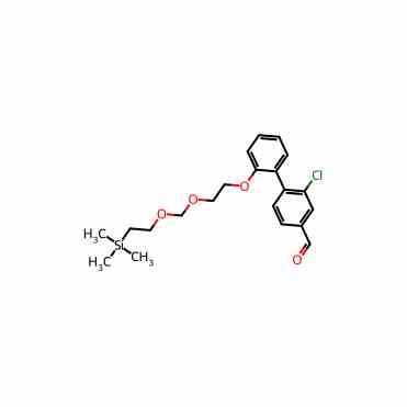 C[Si](C)(C)CCOCOCCOc1ccccc1-c1ccc(C=O)cc1Cl